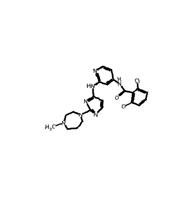 CN1CCCN(c2nccc(Nc3cc(NC(=O)c4c(Cl)cccc4Cl)ccn3)n2)CC1